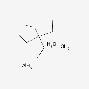 CC[N+](CC)(CC)CC.O.O.[AlH3]